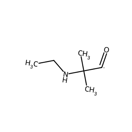 CCNC(C)(C)[C]=O